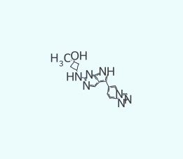 C[C@]1(O)C[C@H](Nc2ncc3c(-c4ccc5nncn5c4)c[nH]c3n2)C1